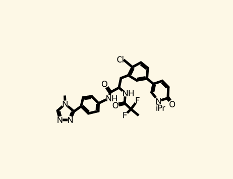 CC(C)n1cc(-c2ccc(Cl)c(CC(NC(=O)C(C)(F)F)C(=O)Nc3ccc(-c4nncn4C)cc3)c2)ccc1=O